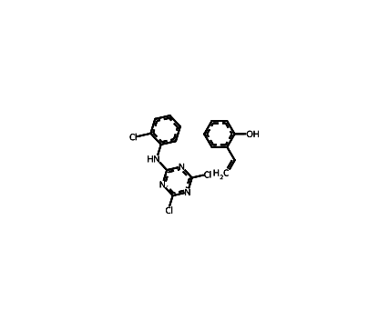 C=Cc1ccccc1O.Clc1nc(Cl)nc(Nc2ccccc2Cl)n1